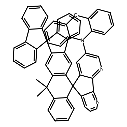 CC1(C)c2ccccc2C2(c3cc4c(cc31)C1(c3ccccc3-c3ccccc31)c1ccccc1-4)c1cccnc1-c1ncc(N3c4ccccc4Oc4ccccc43)cc12